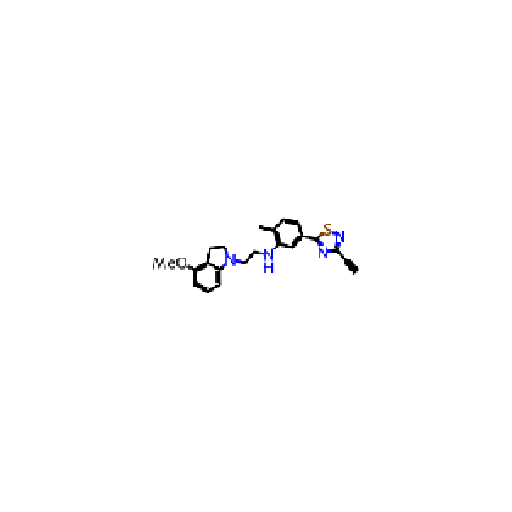 C#Cc1nsc(-c2ccc(C)c(NCCN3CCc4c(OC)cccc43)c2)n1